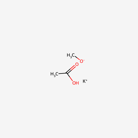 CC(=O)O.C[O-].[K+]